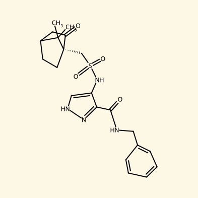 CC1(C)C2CC[C@]1(CS(=O)(=O)Nc1c[nH]nc1C(=O)NCc1ccccc1)C(=O)C2